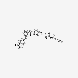 CCOC(=O)CNC(=O)CNCc1ccc(-c2cc3ncnc(Nc4ccc5[nH]ccc5c4)c3s2)cc1